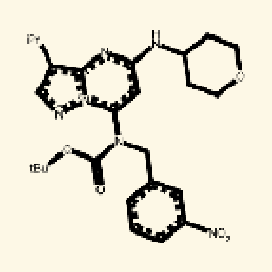 CC(C)c1cnn2c(N(Cc3cccc([N+](=O)[O-])c3)C(=O)OC(C)(C)C)cc(NC3CCOCC3)nc12